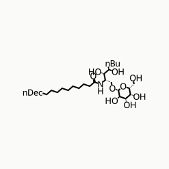 CCCCCCCCCCCCCCCCCCCC(=O)N[C@@H](CO[C@H]1O[C@H](CO)[C@H](O)[C@H](O)[C@H]1O)[C@H](O)[C@H](O)CCCC